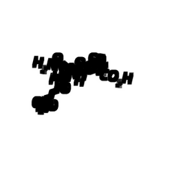 C[C@@H](C(=O)O)N(C)C(=O)c1ccc(NC(=O)C(CCCNC(N)=O)NC(=O)CNC(=O)CCCCCN2C(=O)CC(C)(C)C2=O)cc1C(F)(F)F